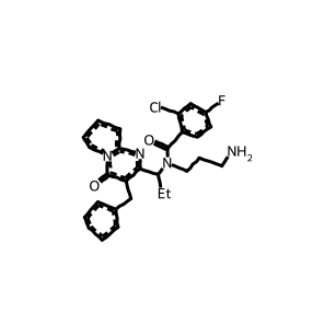 CCC(c1nc2ccccn2c(=O)c1Cc1ccccc1)N(CCCN)C(=O)c1ccc(F)cc1Cl